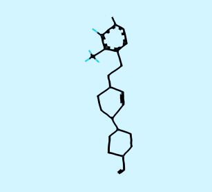 C=CC1CCC(C2C=CC(CCc3ccc(C)c(F)c3C(F)(F)F)CC2)CC1